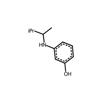 CC(C)C(C)Nc1cccc(O)c1